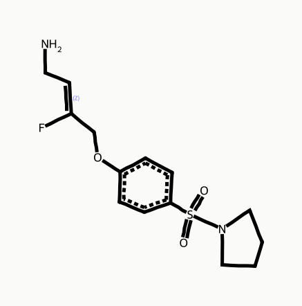 NC/C=C(\F)COc1ccc(S(=O)(=O)N2CCCC2)cc1